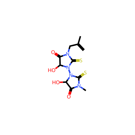 C=C(C)CN1C(=O)C(O)N(N2C(=S)N(C)C(=O)C2O)C1=S